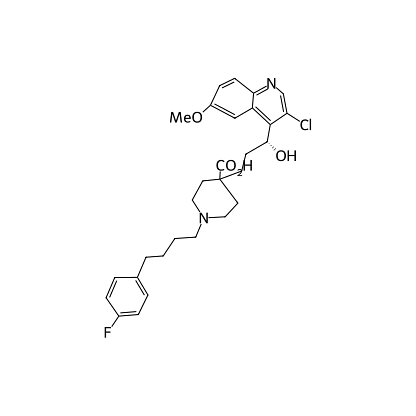 COc1ccc2ncc(Cl)c([C@H](O)CCC3(C(=O)O)CCN(CCCCc4ccc(F)cc4)CC3)c2c1